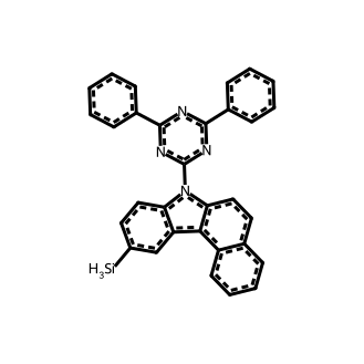 [SiH3]c1ccc2c(c1)c1c3ccccc3ccc1n2-c1nc(-c2ccccc2)nc(-c2ccccc2)n1